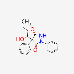 CCCC(O)C1(c2ccccc2)C(=O)NN(c2ccccc2)C1=O